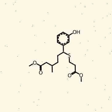 COC(=O)CCSC(CCC(C)CC(=O)OC)c1cccc(O)c1